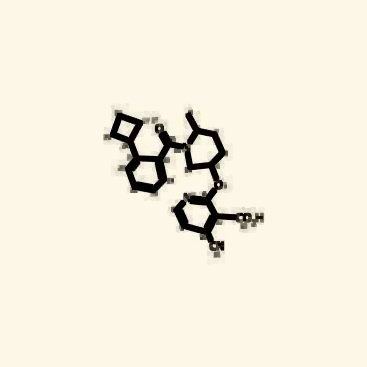 CC1CCC(Oc2nccc(C#N)c2C(=O)O)CN1C(=O)c1ccccc1C1CCC1